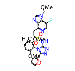 COCn1cnc2c(C[C@@H](C)S(=O)(=O)Nc3nnc(-c4ccco4)n3-c3c(OC)cccc3OC)ncc(F)c21